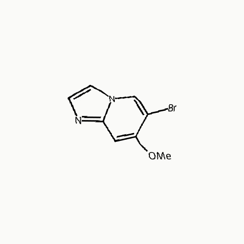 COc1cc2nccn2cc1Br